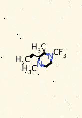 C=C[C@H]1[C@@H](C)N(C(F)(F)F)CCN1C